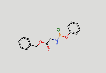 O=C(CNP(Cl)Oc1ccccc1)OCc1ccccc1